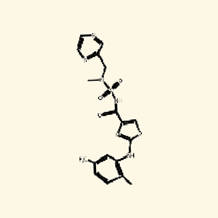 Cc1ccc(C(F)(F)F)cc1Nc1nc(C(=O)NS(=O)(=O)N(C)Cc2cnccn2)co1